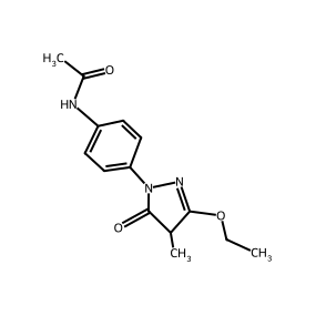 CCOC1=NN(c2ccc(NC(C)=O)cc2)C(=O)C1C